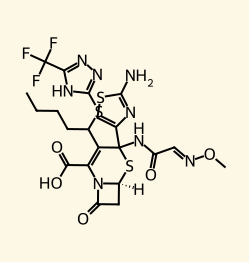 CCCCC(Sc1nnc(C(F)(F)F)[nH]1)C1=C(C(=O)O)N2C(=O)C[C@@H]2SC1(NC(=O)C=NOC)c1csc(N)n1